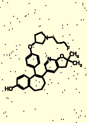 CC1(C)Cc2cc(C3=C(c4ccc(O[C@H]5CCN(CCCF)C5)cc4)c4ccc(O)cc4CCC3)cnc2O1